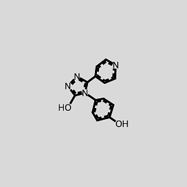 Oc1ccc(-n2c(O)nnc2-c2ccncc2)cc1